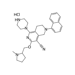 CN1CCCC1COc1nc(N2CCNCC2)c2c(c1C#N)CN(c1cccc3ccccc13)CC2.Cl